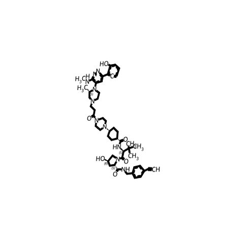 C#Cc1ccc(CNC(=O)[C@@H]2C[C@@H](O)CN2C(=O)[C@@H](NC(=O)[C@H]2CC[C@@H](N3CCN(C(=O)CCN4CCN(c5cc(-c6ccccc6O)nnc5NC)[C@@H](C)C4)CC3)CC2)C(C)(C)C)cc1